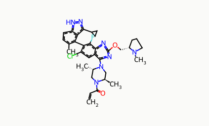 C=CC(=O)N1C[C@H](C)N(c2nc(OC[C@@H]3CCCN3C)nc3c(F)c(-c4c(C)ccc5[nH]nc(C6CC6)c45)c(Cl)cc23)C[C@H]1C